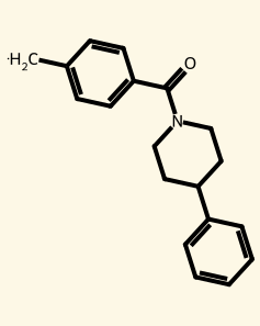 [CH2]c1ccc(C(=O)N2CCC(c3ccccc3)CC2)cc1